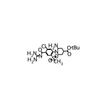 CC(C)(C)OC(=O)C1CCN(c2cc(Cl)c(C(=O)N=C(N)N)cc2S(C)(=O)=O)C(N)C1